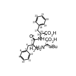 CC[C@H](C)[C@H](N)C(=O)O.N[C@@H](Cc1ccccc1)C(=O)N[C@@H](Cc1ccccc1)C(=O)O